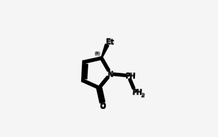 CC[C@@H]1C=CC(=O)N1PP